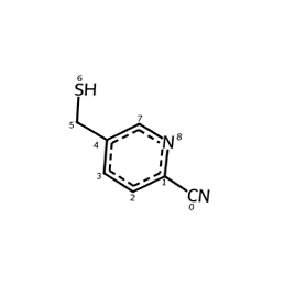 N#Cc1ccc(CS)cn1